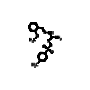 COc1ccccc1C=NNC(N)=NOS(=O)(=O)c1ccc(C)cc1